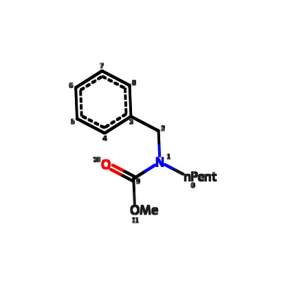 CCCCCN(Cc1ccccc1)C(=O)OC